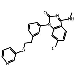 CNc1nc(=O)n(-c2cccc(CCOc3cccnc3)c2)c2cc(Cl)ccc12